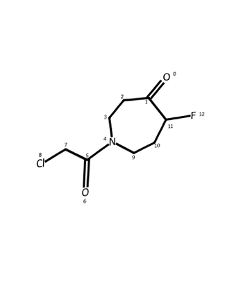 O=C1CCN(C(=O)CCl)CCC1F